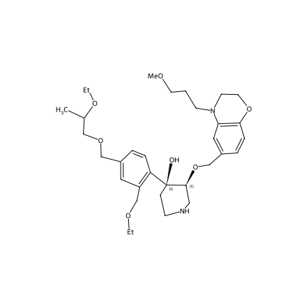 CCOCc1cc(COCC(C)OCC)ccc1[C@@]1(O)CCNC[C@@H]1OCc1ccc2c(c1)N(CCCOC)CCO2